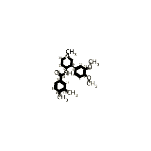 COc1ccc([C@@H]2CN(C)CC[C@@H]2NC(=O)c2ccc(C)c(C)c2)cc1OC